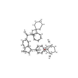 O=C(NCC1(c2ccccc2)CCOCC1)c1ccc2[nH]nc(-c3ccc(N4[C@@H]5CC[C@H]4C[C@H](O)C5)cc3)c2c1